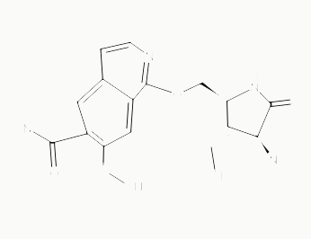 CC[C@H]1[C@H](N)C(=O)N[C@@H]1COc1nccc2cc(C(N)=O)c(OC)cc12